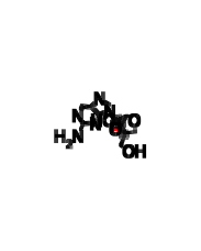 Nc1ncc2ncn([C@@H]3O[C@@]4(CO)COC3[C@H]4O)c2n1